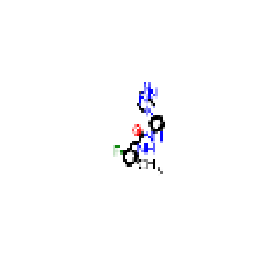 Cc1ccc(F)c2cc(C(=O)Nc3cccc(N4CCn5cnnc5C4)c3)[nH]c12